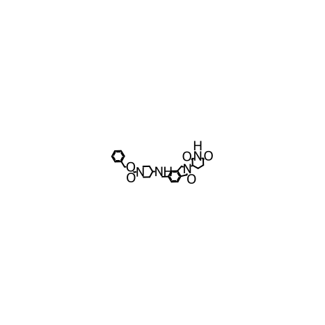 O=C1CCC(N2Cc3cc(CNC4CCN(C(=O)OCc5ccccc5)CC4)ccc3C2=O)C(=O)N1